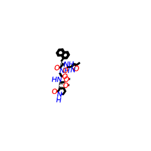 COC(OC)[C@H](C[C@@H]1CCCNC1=O)NC(=O)CNC(=O)[C@H](Cc1cccc2ccccc12)NC(=O)c1cc(C)on1